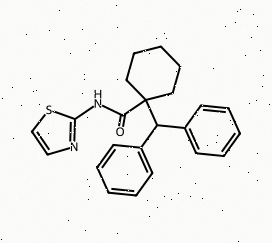 O=C(Nc1nccs1)C1(C(c2ccccc2)c2ccccc2)CCCCC1